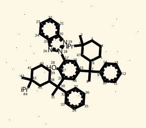 CC(C)C1(C)CCCC(C(C)(c2ccccc2)c2cc(-n3nc4ccccc4n3)c(O)c(C(C)(c3ccccc3)C3CCCC(C)(C(C)C)C3)c2)C1